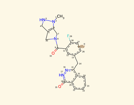 Br.CN1NCC2=C1CN(C(=O)c1cc(Cc3n[nH]c(=O)c4ccccc34)ccc1F)C2